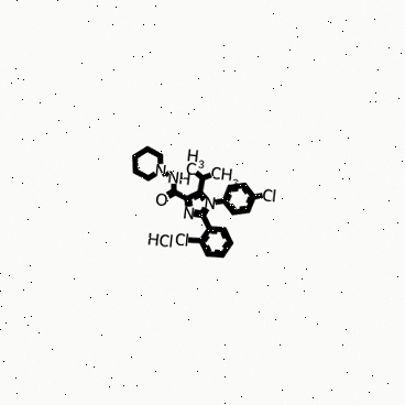 CC(C)c1c(C(=O)NN2CCCCC2)nc(-c2ccccc2Cl)n1-c1ccc(Cl)cc1.Cl